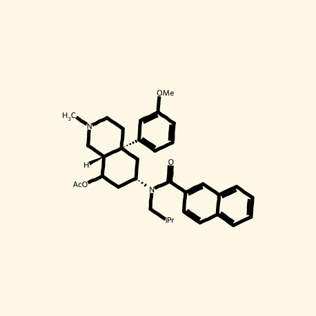 COc1cccc([C@@]23CCN(C)C[C@H]2C(OC(C)=O)C[C@@H](N(CC(C)C)C(=O)c2ccc4ccccc4c2)C3)c1